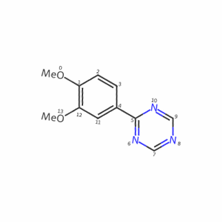 COc1ccc(-c2ncncn2)cc1OC